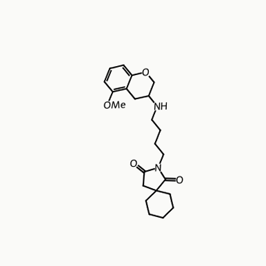 COc1cccc2c1CC(NCCCCN1C(=O)CC3(CCCCC3)C1=O)CO2